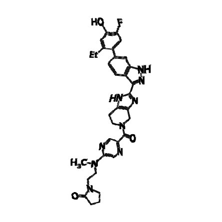 CCc1cc(O)c(F)cc1-c1ccc2c(-c3nc4c([nH]3)CCN(C(=O)c3cnc(N(C)CCN5CCCC5=O)cn3)C4)n[nH]c2c1